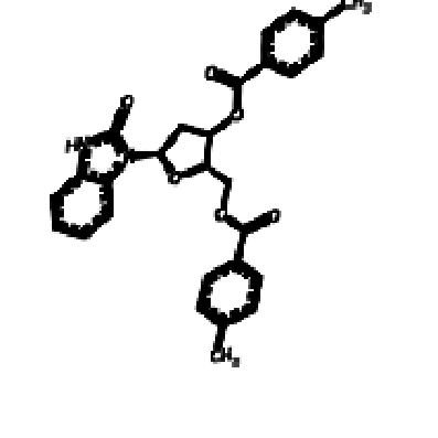 Cc1ccc(C(=O)OC[C@H]2O[C@@H](n3c(=O)[nH]c4ccccc43)CC2OC(=O)c2ccc(C)cc2)cc1